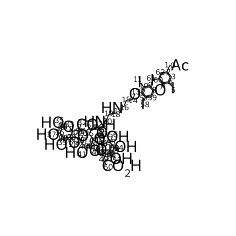 CC(=O)Cc1cc(I)c(Oc2cc(I)c(OCCCNCCCNC(=O)CC3O[C@@H](O[C@@H]4C(CC(=O)O)O[C@@H](O)C(O)[C@H]4O)C(O)[C@@H](O)[C@@H]3O[C@@H]3OC(CC(=O)O)[C@@H](O)[C@H](O)C3O)c(I)c2)c(I)c1